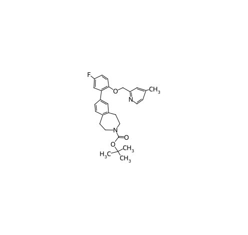 Cc1ccnc(COc2ccc(F)cc2-c2ccc3c(c2)CCN(C(=O)OC(C)(C)C)CC3)c1